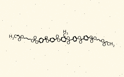 C=CC(=O)OCCCCOC(=O)Oc1ccc(C(=O)Oc2ccc(C(=O)Oc3ccc(OC(=O)c4ccc(OC(=O)c5ccc(OC(=O)OCCCOC(=O)C=C)cc5)cc4)c(C)c3)cc2)cc1